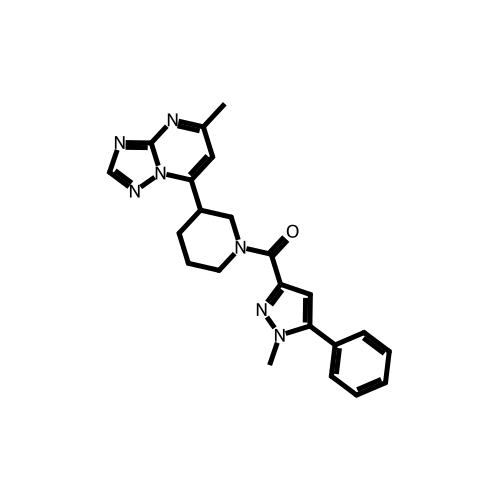 Cc1cc(C2CCCN(C(=O)c3cc(-c4ccccc4)n(C)n3)C2)n2ncnc2n1